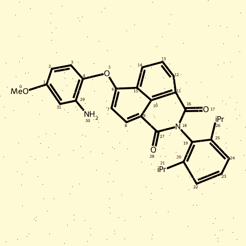 COc1ccc(Oc2ccc3c4c(cccc24)C(=O)N(c2c(C(C)C)cccc2C(C)C)C3=O)c(N)c1